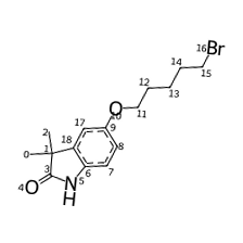 CC1(C)C(=O)Nc2ccc(OCCCCCBr)cc21